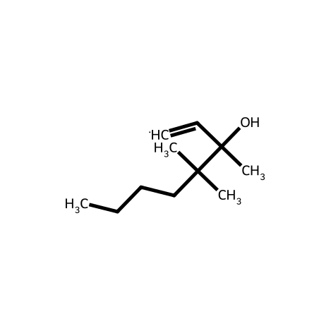 [CH]=CC(C)(O)C(C)(C)CCCC